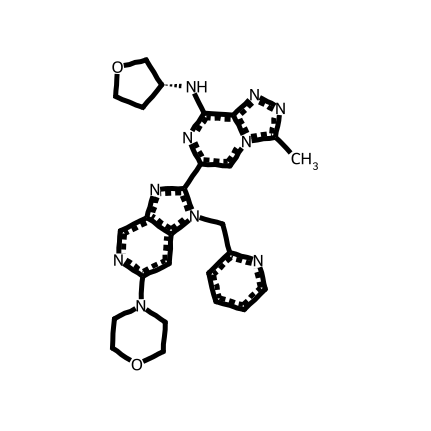 Cc1nnc2c(N[C@@H]3CCOC3)nc(-c3nc4cnc(N5CCOCC5)cc4n3Cc3ccccn3)cn12